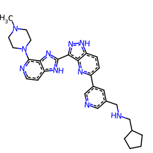 CN1CCN(c2nccc3[nH]c(-c4n[nH]c5ccc(-c6cncc(CNCC7CCCC7)c6)nc45)nc23)CC1